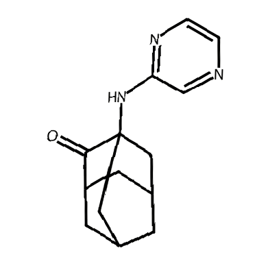 O=C1C2CC3CC(C2)CC1(Nc1cnccn1)C3